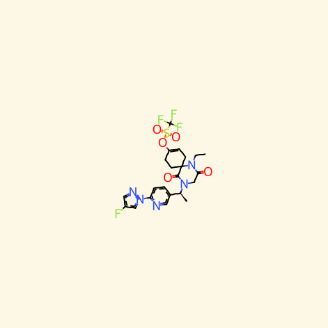 CCN1C(=O)CN([C@@H](C)c2ccc(-n3cc(F)cn3)nc2)C(=O)C12CC=C(OS(=O)(=O)C(F)(F)F)CC2